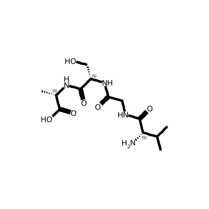 CC(C)[C@H](N)C(=O)NCC(=O)N[C@@H](CO)C(=O)N[C@@H](C)C(=O)O